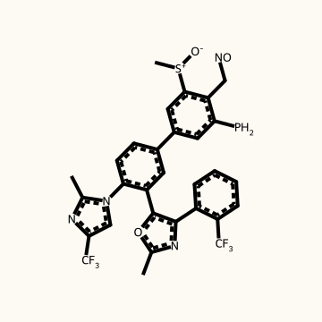 Cc1nc(-c2ccccc2C(F)(F)F)c(-c2cc(-c3cc(P)c(CN=O)c([S+](C)[O-])c3)ccc2-n2cc(C(F)(F)F)nc2C)o1